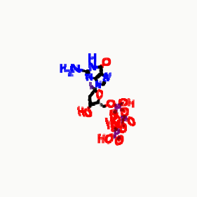 Nc1nc2c(ncn2[C@@]2(I)C[C@H](O)[C@@H](COP(=O)(O)OP(=O)(O)OP(=O)(O)O)O2)c(=O)[nH]1